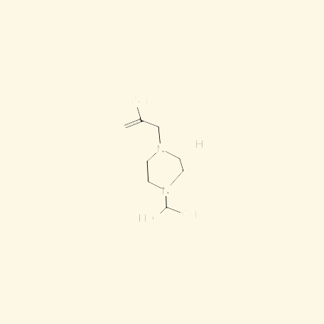 CC(C)N1CCN(CC(=O)O)[C@H](C)C1